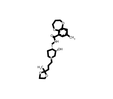 Cc1cc2c(c(C(=O)NC[C@H]3CCN(CCCC4(C)OCCO4)C[C@H]3O)c1)OCCCO2